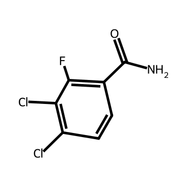 NC(=O)c1ccc(Cl)c(Cl)c1F